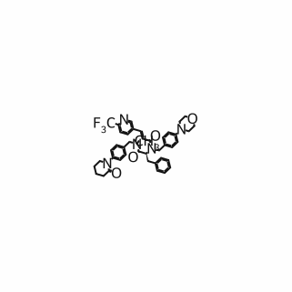 CN(Cc1ccc(N2CCCCC2=O)cc1)C(=O)[C@H](Cc1ccccc1)N(Cc1ccc(N2CCOCC2)cc1)C(=O)C=Cc1ccc(C(F)(F)F)nc1